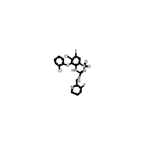 O=S1(=O)N=C(NCc2ncccc2F)Nc2c1cc(F)c(Cl)c2Oc1ccccc1Cl